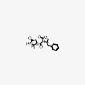 C[C@H]1NC(=O)C[C@@H]1C(=O)N1C(=O)OC[C@H]1Cc1ccccc1